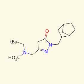 CC(C)(C)CN(CC1=NN(CC2CC3CCC2C3)C(=O)C1)C(=O)O